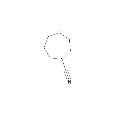 N#CN1CC[CH]CCC1